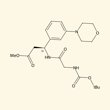 COC(=O)C[C@H](NC(=O)CNC(=O)OC(C)(C)C)c1cccc(N2CCOCC2)c1